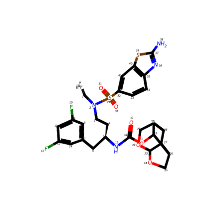 CC(C)CN(CC[C@H](Cc1cc(F)cc(F)c1)NC(=O)OC1C2COC3OCC1C3C2)S(=O)(=O)c1ccc2nc(N)sc2c1